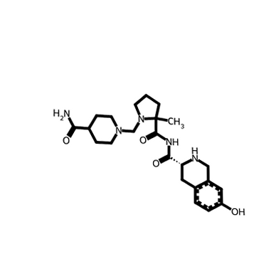 CC1(C(=O)NC(=O)[C@H]2Cc3ccc(O)cc3CN2)CCCN1CN1CCC(C(N)=O)CC1